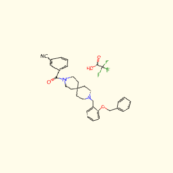 N#Cc1cccc(C(=O)N2CCC3(CCN(Cc4ccccc4OCc4ccccc4)CC3)CC2)c1.O=C(O)C(F)(F)F